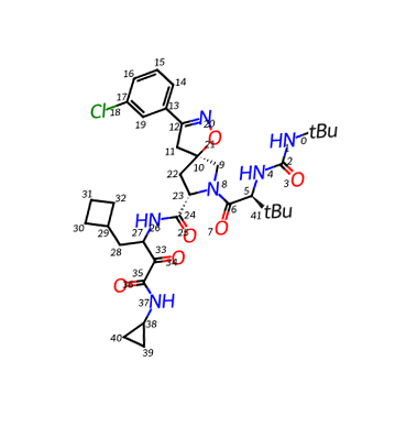 CC(C)(C)NC(=O)N[C@H](C(=O)N1C[C@@]2(CC(c3cccc(Cl)c3)=NO2)C[C@H]1C(=O)NC(CC1CCC1)C(=O)C(=O)NC1CC1)C(C)(C)C